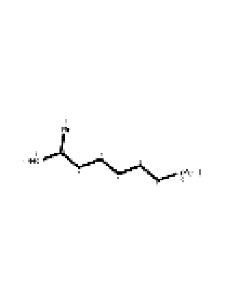 CCCCCCCCCCC(Br)C=O